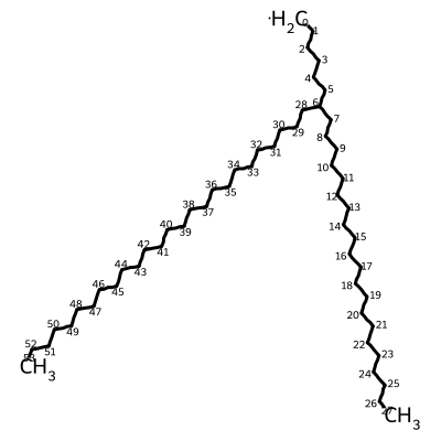 [CH2]CCCCCC(CCCCCCCCCCCCCCCCCCCCC)CCCCCCCCCCCCCCCCCCCCCCCCCC